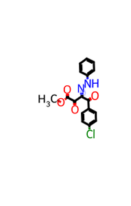 COC(=O)C(=O)/C(=N/Nc1ccccc1)C(=O)c1ccc(Cl)cc1